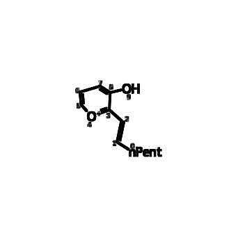 CCCCCC=Cc1[o+]cccc1O